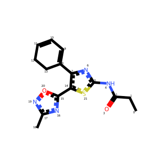 CCC(=O)Nc1nc(C2=CC=CCC2)c(-c2nc(C)no2)s1